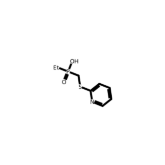 CCP(=O)(O)CSc1ccccn1